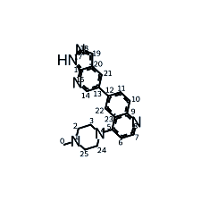 CN1CCN(c2ccnc3ccc(-c4cnc5[nH]ncc5c4)cc23)CC1